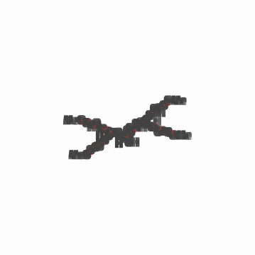 COCCOCCOCC(=O)NCCOCCOCC(COCCOCCNC(=O)COCCOCCOC)OCC(=O)NCCC(=O)OC(=O)CC/C(=N/O)OC(=O)CCNC(=O)COC(COCCOCCNC(=O)COCCOCCOC)COCCOCCNC(=O)COCCOCCOC